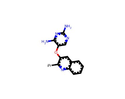 CC(C)c1nc2ccccc2cc1Oc1cnc(N)nc1N